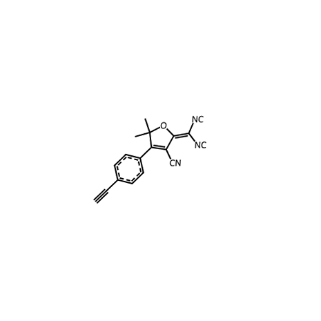 [C-]#[N+]C([N+]#[C-])=C1OC(C)(C)C(c2ccc(C#C)cc2)=C1C#N